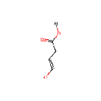 CCOC(=O)CC=C[O]